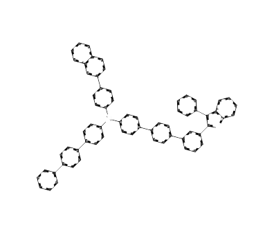 c1ccc(-c2ccc(-c3ccc(N(c4ccc(-c5ccc(-c6cccc(-c7oc8ccccc8c7-c7ccccc7)c6)cc5)cc4)c4ccc(-c5ccc6ccccc6c5)cc4)cc3)cc2)cc1